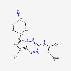 COCC(C)Nc1ncc2c(Br)cc(C3CCC(N)CC3)n2n1